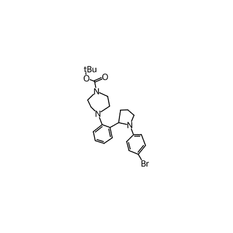 CC(C)(C)OC(=O)N1CCN(c2ccccc2C2CCCN2c2ccc(Br)cc2)CC1